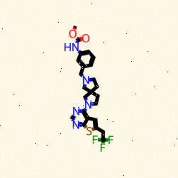 COC(=O)Nc1cccc(CN2CCC3(CCN(c4ncnc5sc(CC(F)(F)F)cc45)C3)C2)c1